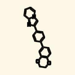 c1ccn2cc(-c3ccc(-c4ccc5c(c4)OCCO5)cc3)nc2c1